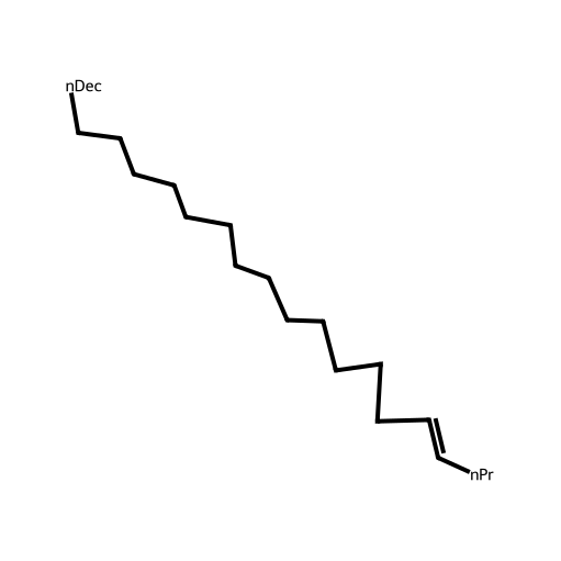 [CH2]CCC=CCCCCCCCCCCCCCCCCCCCCCC[CH2]